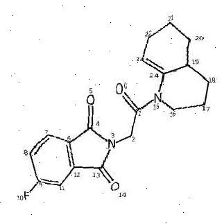 O=C(CN1C(=O)c2ccc(F)cc2C1=O)N1CCCC2CCCC=C21